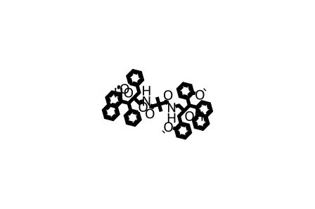 COc1ccccc1CC(O)(CNC(=O)C(C)(C)C(=O)NCC(O)(Cc1ccccc1OC)C(c1ccccc1OC)c1cccc2ccccc12)C(c1ccccc1OC)c1cccc2ccccc12